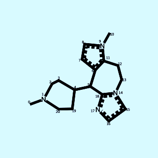 CN1CCC(C2c3ccn(C)c3CCn3ccnc32)CC1